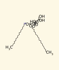 CCCCCCCCCCCCCCCC/C=C\OC[C@H](COP(=O)(O)OC[C@@H](O)CO)OC(=O)CCCCCCCCCCCCCCCCCC